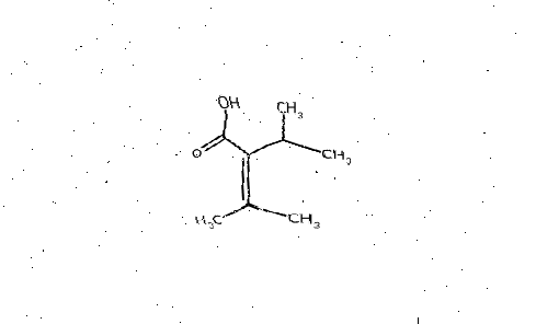 CC(C)=C(C(=O)O)C(C)C